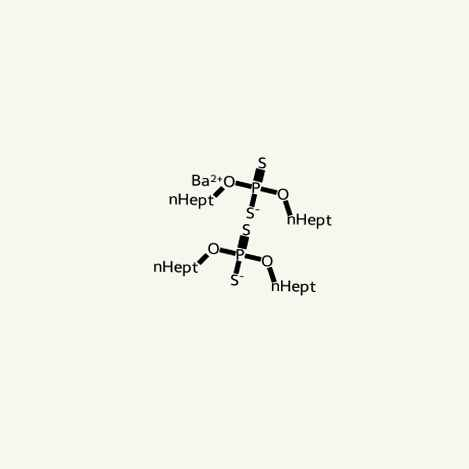 CCCCCCCOP(=S)([S-])OCCCCCCC.CCCCCCCOP(=S)([S-])OCCCCCCC.[Ba+2]